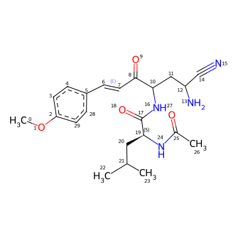 COc1ccc(/C=C/C(=O)C(CC(N)C#N)NC(=O)[C@H](CC(C)C)NC(C)=O)cc1